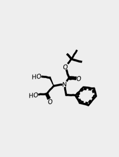 CC(C)(C)OC(=O)N(Cc1ccccc1)[C@H](CO)C(=O)O